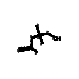 C=C(C)CC(C)(C)CO